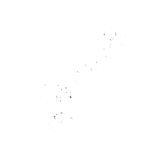 CC1(C)c2cc(-c3nc(-c4ccccc4)nc(-c4cccc5c4sc4ccccc45)n3)ccc2-c2ccc(-c3ccc4ccc5cccc6ccc3c4c56)cc21